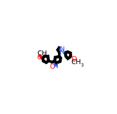 COc1ccc(-c2onc3ccc(-c4ccnn4-c4ccc(OC)cc4)cc23)cc1